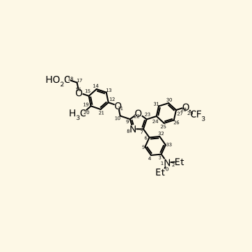 CCN(CC)c1ccc(-c2nc(COc3ccc(OCC(=O)O)c(C)c3)oc2-c2ccc(OC(F)(F)F)cc2)cc1